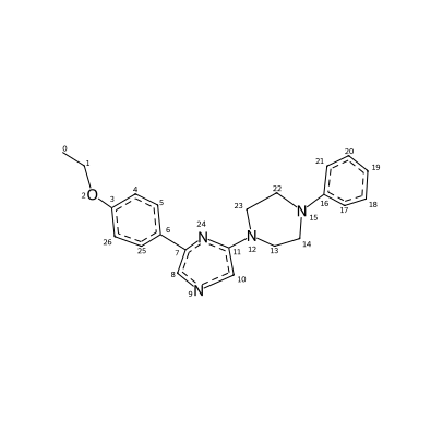 CCOc1ccc(-c2cncc(N3CCN(c4ccccc4)CC3)n2)cc1